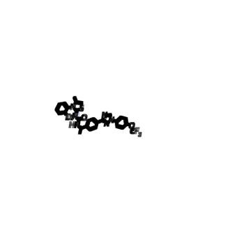 CCc1ccccc1-n1c(C)cs/c1=N\C(=O)NC(C)c1ccc(-c2ncn(-c3ccc(OC(F)(F)F)cc3)n2)cc1